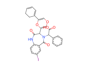 O=C1Nc2ccc(I)cc2C(=O)N(C(C(=O)O)c2ccccc2)C1C1=COC=C(C2=CC=CCC2)O1